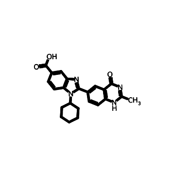 Cc1nc(=O)c2cc(-c3nc4cc(C(=O)O)ccc4n3C3CCCCC3)ccc2[nH]1